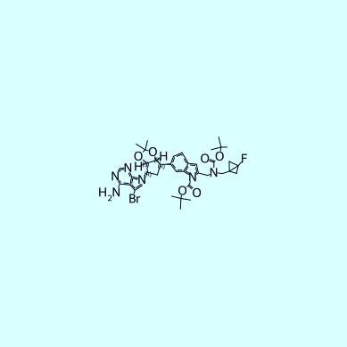 CC(C)(C)OC(=O)N(Cc1cc2ccc([C@H]3C[C@@H](n4cc(Br)c5c(N)ncnc54)[C@@H]4OC(C)(C)O[C@@H]43)cc2n1C(=O)OC(C)(C)C)CC12CC1(F)C2